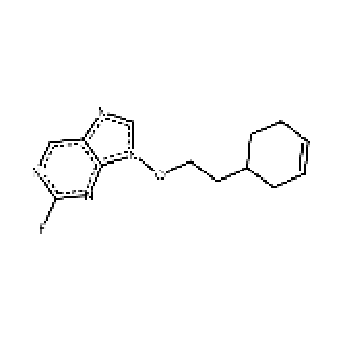 Fc1ncc2ncn(OCCC3CC=CCC3)c2n1